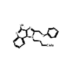 COCCCn1c(COc2ccccc2)nc2c(N)nc3ccccc3c21